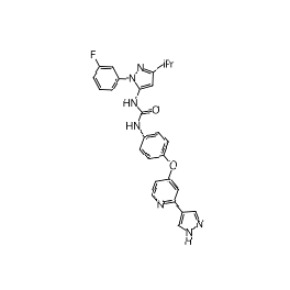 CC(C)c1cc(NC(=O)Nc2ccc(Oc3ccnc(-c4cn[nH]c4)c3)cc2)n(-c2cccc(F)c2)n1